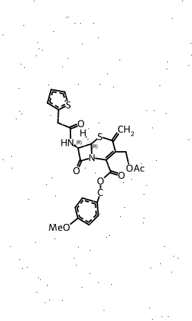 C=C1S[C@@H]2[C@H](NC(=O)Cc3cccs3)C(=O)N2C(C(=O)OCc2ccc(OC)cc2)=C1COC(C)=O